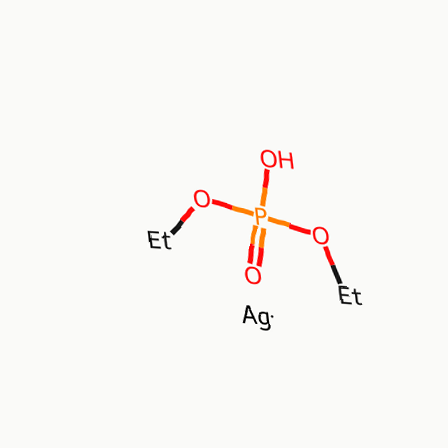 CCOP(=O)(O)OCC.[Ag]